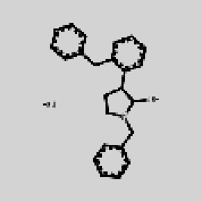 Cl.OC1C(c2ccccc2Cc2ccccc2)CCN1Cc1ccccc1